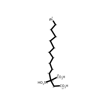 CC(C)CCCCCCCCCCC(CC(=O)O)(C(=O)O)S(=O)(=O)O